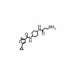 NCCC(=O)NC1CCC(NC(=O)c2cc(C3CC3)on2)CC1